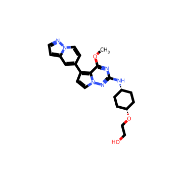 COc1nc(N[C@H]2CC[C@@H](OCCO)CC2)nn2ccc(-c3ccn4nccc4c3)c12